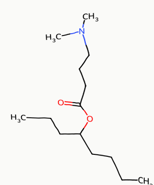 CCCCC(CCC)OC(=O)CCCN(C)C